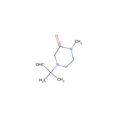 CN1CCN(C(C)(C)C=O)CC1=O